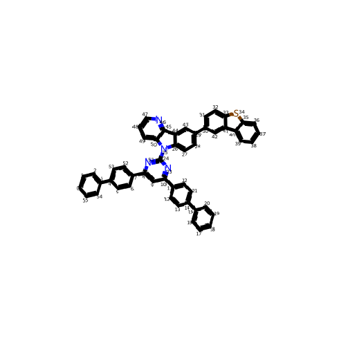 c1ccc(-c2ccc(-c3cc(-c4ccc(-c5ccccc5)cc4)nc(-n4c5ccc(-c6ccc7sc8ccccc8c7c6)cc5c5ncccc54)n3)cc2)cc1